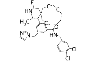 CC1NC(F)CC2(CCCCCCCCCC2)C1c1cc(Cn2ccnc2)cc(C(=O)NCc2ccc(Cl)c(Cl)c2)c1